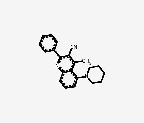 Cc1c(C#N)c(-c2ccccc2)nc2cccc(N3CCCCC3)c12